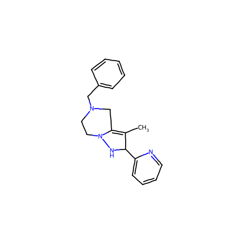 CC1=C2CN(Cc3ccccc3)CCN2NC1c1ccccn1